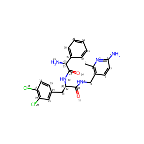 Cc1nc(N)ccc1CNC(=O)[C@@H](Cc1ccc(Cl)c(Cl)c1)NC(=O)[C@@H](N)c1ccccc1